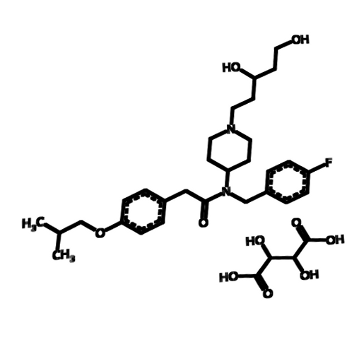 CC(C)COc1ccc(CC(=O)N(Cc2ccc(F)cc2)C2CCN(CCC(O)CCO)CC2)cc1.O=C(O)C(O)C(O)C(=O)O